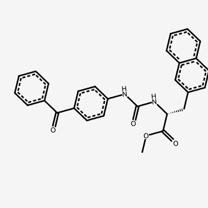 COC(=O)[C@@H](Cc1ccc2ccccc2c1)NC(=O)Nc1ccc(C(=O)c2ccccc2)cc1